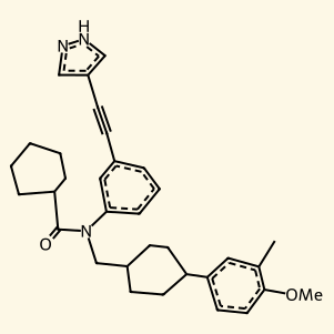 COc1ccc(C2CCC(CN(C(=O)C3CCCCC3)c3cccc(C#Cc4cn[nH]c4)c3)CC2)cc1C